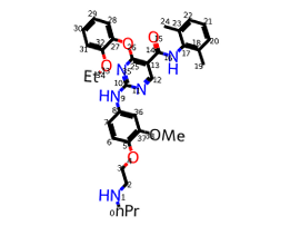 CCCNCCOc1ccc(Nc2ncc(C(=O)Nc3c(C)cccc3C)c(Oc3ccccc3OCC)n2)cc1OC